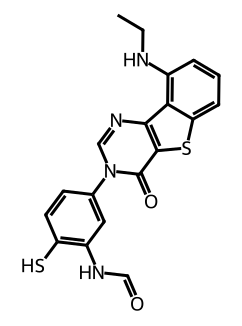 CCNc1cccc2sc3c(=O)n(-c4ccc(S)c(NC=O)c4)cnc3c12